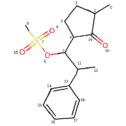 CC1CCC(C(OS(C)(=O)=O)C(C)c2ccccc2)C1=O